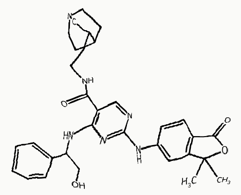 CC1(C)OC(=O)c2ccc(Nc3ncc(C(=O)NCC4CN5CCC4CC5)c(NC(CO)c4ccccc4)n3)cc21